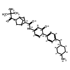 CC(C)(N)C(=O)N1CC2CC1CN2C(=O)Nc1ccn(-c2ccc(CN3CCC(N)CC3)cc2)c(=O)n1